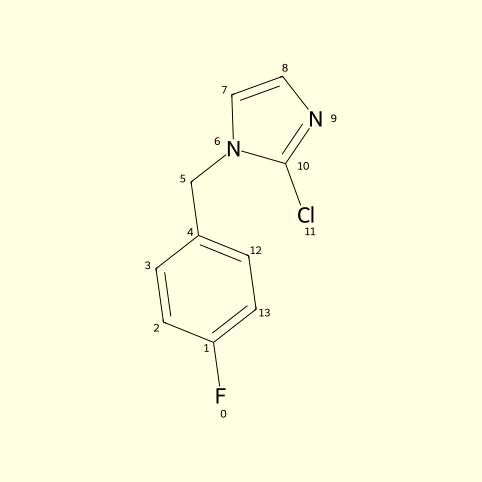 Fc1ccc(Cn2ccnc2Cl)cc1